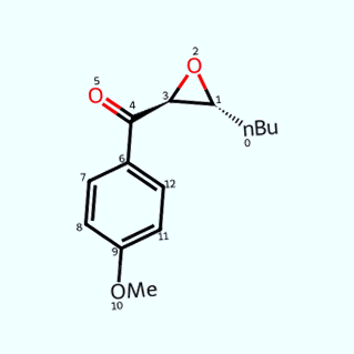 CCCC[C@H]1O[C@@H]1C(=O)c1ccc(OC)cc1